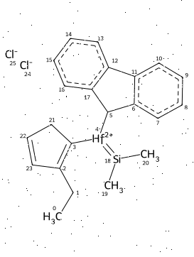 CCC1=[C]([Hf+2]([CH]2c3ccccc3-c3ccccc32)=[Si](C)C)CC=C1.[Cl-].[Cl-]